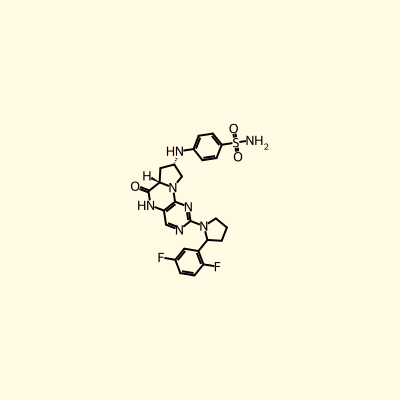 NS(=O)(=O)c1ccc(N[C@H]2C[C@H]3C(=O)Nc4cnc(N5CCCC5c5cc(F)ccc5F)nc4N3C2)cc1